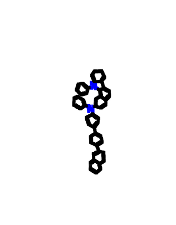 c1ccc(N(c2ccc(-c3ccc(-c4ccc5ccccc5c4)cc3)cc2)c2ccc3ccc4c5ccccc5n(-c5ccccc5)c4c3c2)cc1